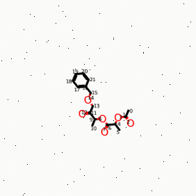 CC(=O)OC(C)C(=O)OC(C)C(=O)COCc1ccccc1